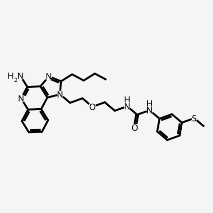 CCCCc1nc2c(N)nc3ccccc3c2n1CCOCCNC(=O)Nc1cccc(SC)c1